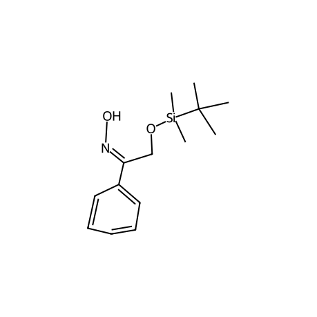 CC(C)(C)[Si](C)(C)OCC(=NO)c1ccccc1